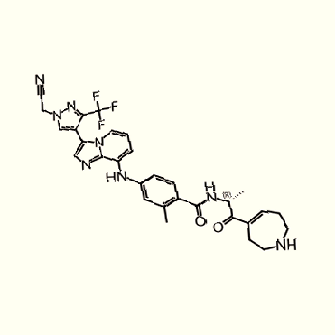 Cc1cc(Nc2cccn3c(-c4cn(CC#N)nc4C(F)(F)F)cnc23)ccc1C(=O)N[C@H](C)C(=O)C1=CCCNCC1